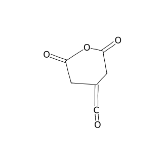 O=C=C1CC(=O)OC(=O)C1